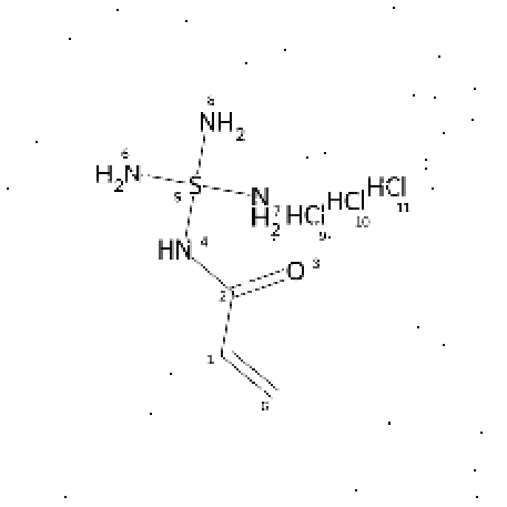 C=CC(=O)NS(N)(N)N.Cl.Cl.Cl